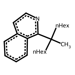 CCCCCCC(C)(CCCCCC)c1nccc2ccccc12